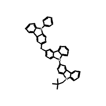 CC(C)(C)Cn1c2ccccc2c2cc(-n3c4ccccc4c4cc(Cc5ccc6c(c5)c5ccccc5n6-c5ccccc5)ccc43)ccc21